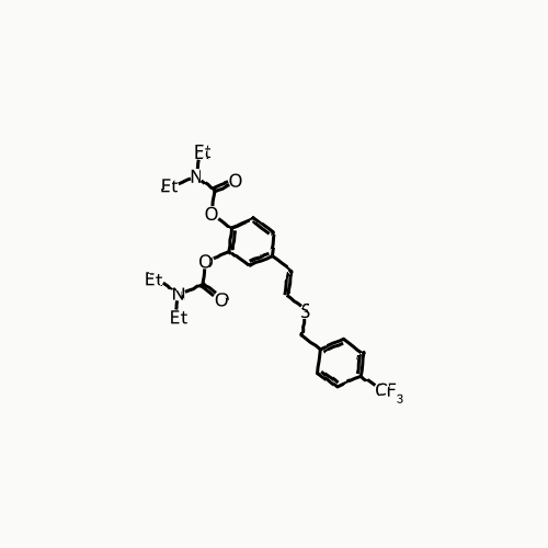 CCN(CC)C(=O)Oc1ccc(/C=C/SCc2ccc(C(F)(F)F)cc2)cc1OC(=O)N(CC)CC